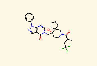 CC(CC(F)(F)F)C(=O)N1CCC(O)(Cn2cnc3c(cnn3-c3ccccc3)c2=O)C2(CCCC2)C1